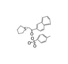 Cc1ccc(S(=O)(=O)[O-])cc1.O=C(C[S+]1CCCC1)c1ccc2ccccc2c1